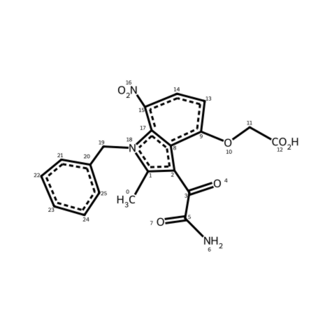 Cc1c(C(=O)C(N)=O)c2c(OCC(=O)O)ccc([N+](=O)[O-])c2n1Cc1ccccc1